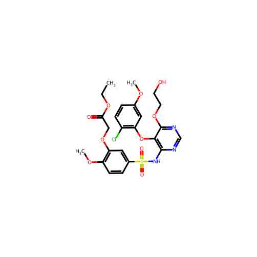 CCOC(=O)COc1cc(S(=O)(=O)Nc2ncnc(OCCO)c2Oc2cc(OC)ccc2Cl)ccc1OC